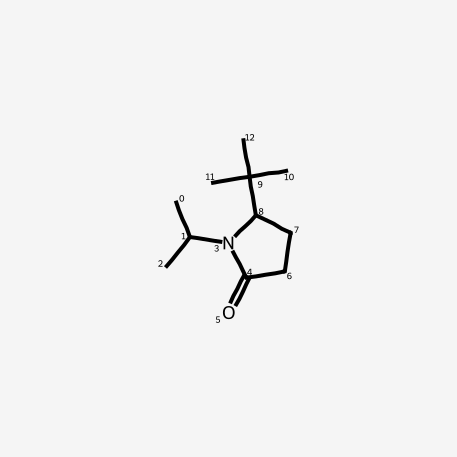 CC(C)N1C(=O)CCC1C(C)(C)C